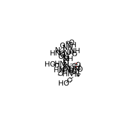 CCNC(=O)[C@@H]1CCCN1C(=O)[C@H](Cc1ccc(O)cc1)NC(=O)[C@H](Cc1c[nH]c2ccccc12)NC(=O)[C@@H](Cc1ccc2ccccc2c1)NC(=O)[C@H](Cc1ccc(O)cc1)NC(=O)[C@H](CO)NC(=O)[C@H](Cc1c[nH]c2ccccc12)NC(=O)[C@H](Cc1c[nH]cn1)NC(=O)[C@@H]1CCC(=O)N1